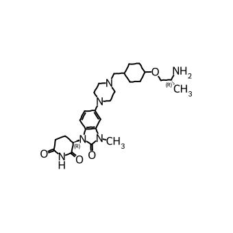 C[C@@H](N)COC1CCC(CN2CCN(c3ccc4c(c3)n(C)c(=O)n4[C@@H]3CCC(=O)NC3=O)CC2)CC1